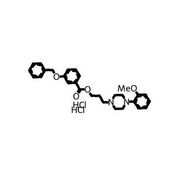 COc1ccccc1N1CCN(CCCOC(=O)c2cccc(OCc3ccccc3)c2)CC1.Cl.Cl